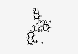 Cc1ccc(N(C[C@@H](NC(=O)c2ccc3ccnc(N)c3c2)c2ccccc2)C(=O)O)cc1